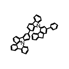 c1ccc(-c2cc3c(c(-n4c5ccccc5c5ccc(-c6ccc7c(c6)c6ccccc6n7-c6ccccc6-c6ccccc6)cc54)c2)-c2ccccc2C3)cc1